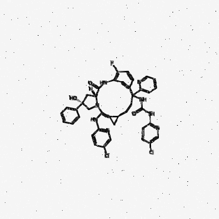 O=C(Nc1ccc(Cl)cn1)NC1(c2ccccn2)CCC2C/C2=C(\Nc2ccc(Cl)cn2)N2C[C@@](O)(c3ccccc3)C[C@@H]2C(=O)Nc2cc1ccc2F